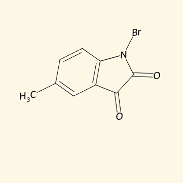 Cc1ccc2c(c1)C(=O)C(=O)N2Br